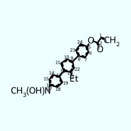 C=CC(=O)Oc1ccc(-c2ccc(-c3ccc(N(C)O)cc3)c(CC)c2)cc1